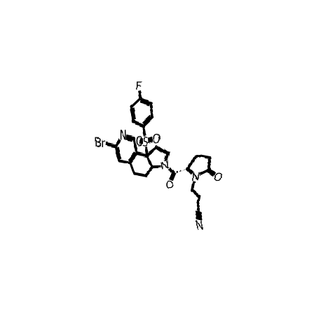 N#CCCN1C(=O)CC[C@H]1C(=O)N1CCC2(S(=O)(=O)c3ccc(F)cc3)c3cnc(Br)cc3CCC12